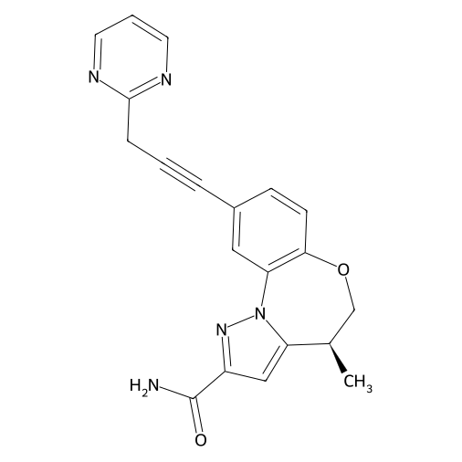 C[C@@H]1COc2ccc(C#CCc3ncccn3)cc2-n2nc(C(N)=O)cc21